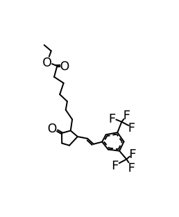 CCOC(=O)CCCCCCC1C(=O)CCC1C=Cc1cc(C(F)(F)F)cc(C(F)(F)F)c1